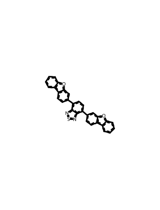 c1ccc2c(c1)oc1cc(-c3ccc(-c4ccc5c(c4)oc4ccccc45)c4nsnc34)ccc12